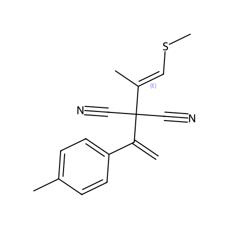 C=C(c1ccc(C)cc1)C(C#N)(C#N)/C(C)=C/SC